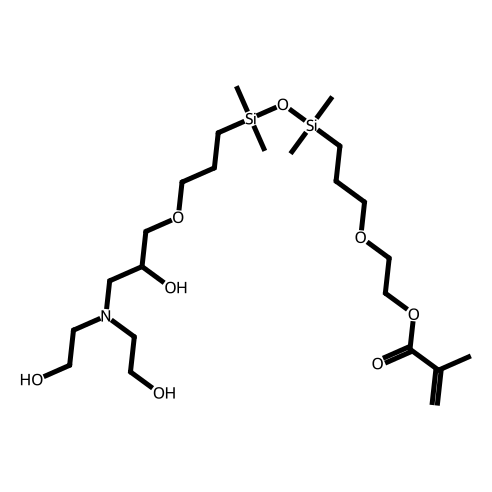 C=C(C)C(=O)OCCOCCC[Si](C)(C)O[Si](C)(C)CCCOCC(O)CN(CCO)CCO